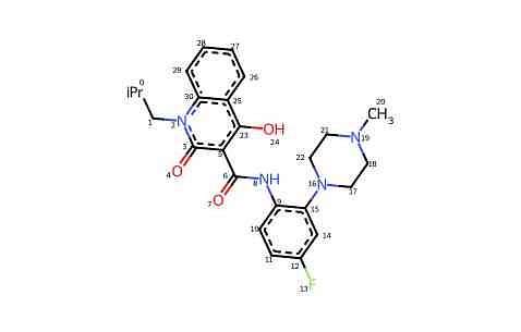 CC(C)Cn1c(=O)c(C(=O)Nc2ccc(F)cc2N2CCN(C)CC2)c(O)c2ccccc21